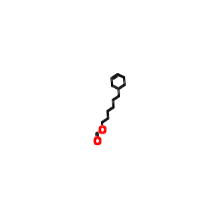 O=COCCCCCCC1CC=CCC1